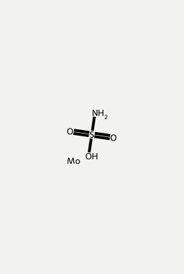 NS(=O)(=O)O.[Mo]